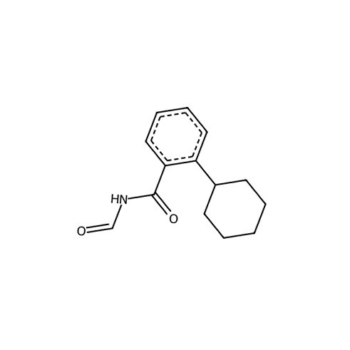 O=CNC(=O)c1ccccc1C1CCCCC1